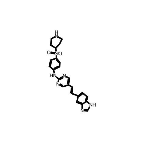 O=S(=O)(c1ccc(Nc2ncc(C=Cc3ccc4[nH]cnc4c3)cn2)cc1)C1CCNCC1